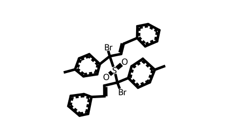 Cc1ccc(C(Br)(C=Cc2ccccc2)S(=O)(=O)C(Br)(C=Cc2ccccc2)c2ccc(C)cc2)cc1